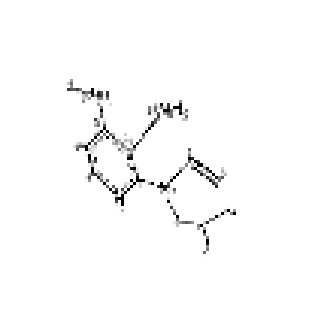 C=CN(CC(C)C)c1nccc(NC)c1N